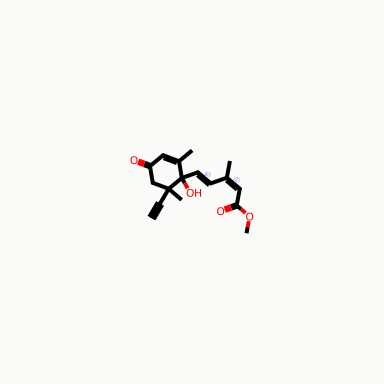 C#CC1(C)CC(=O)C=C(C)C1(O)/C=C/C(C)=C\C(=O)OC